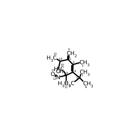 C=C(/C(C)=C(/C(C)(C)C)C(C)(C)N=O)C(C)C